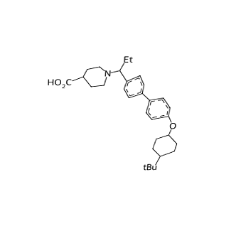 CCC(c1ccc(-c2ccc(OC3CCC(C(C)(C)C)CC3)cc2)cc1)N1CCC(C(=O)O)CC1